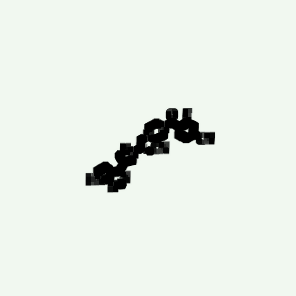 N#CC[C@@H](CN1CCN(C(=O)c2ccc(C#N)cc2F)CC1)n1cc(-c2ncnc3[nH]ccc23)cn1